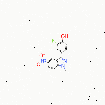 Cn1nc(-c2ccc(O)c(F)c2)c2cc([N+](=O)[O-])ccc21